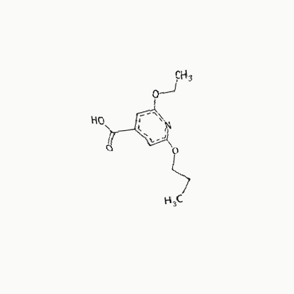 CCCOc1cc(C(=O)O)cc(OCC)n1